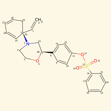 C=C[C@]1(N2CCO[C@H](c3ccc(OS(=O)(=O)c4ccccc4)cc3)C2)C=CC=CC1